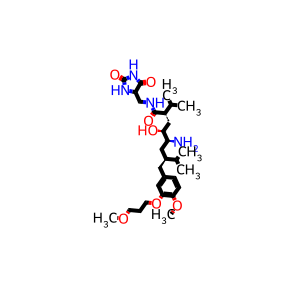 COCCCOc1cc(C[C@@H](C[C@H](N)[C@@H](O)C[C@H](C(=O)NCC2NC(=O)NC2=O)C(C)C)C(C)C)ccc1OC